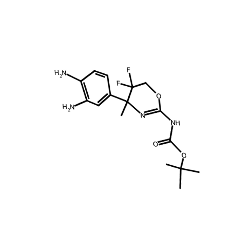 CC(C)(C)OC(=O)NC1=NC(C)(c2ccc(N)c(N)c2)C(F)(F)CO1